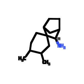 CC1CCC2(CC1C)C1CCC(C1)[C@H]2N